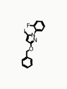 Fc1ccccc1-n1nc(OCc2ccccc2)cc1I